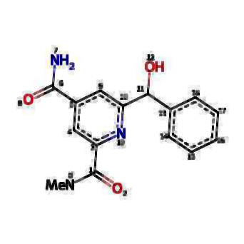 CNC(=O)c1cc(C(N)=O)cc(C(O)c2ccccc2)n1